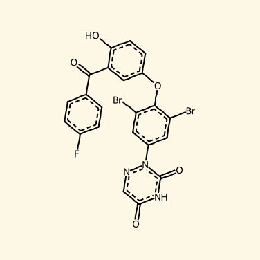 O=C(c1ccc(F)cc1)c1cc(Oc2c(Br)cc(-n3ncc(=O)[nH]c3=O)cc2Br)ccc1O